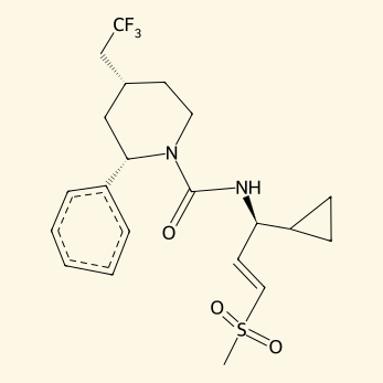 CS(=O)(=O)/C=C/[C@@H](NC(=O)N1CC[C@@H](CC(F)(F)F)C[C@H]1c1ccccc1)C1CC1